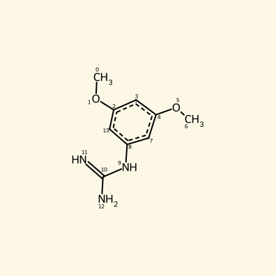 COc1[c]c(OC)cc(NC(=N)N)c1